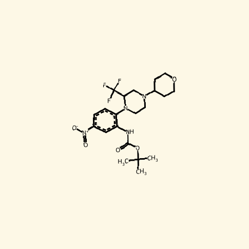 CC(C)(C)OC(=O)Nc1cc([N+](=O)[O-])ccc1N1CCN(C2CCOCC2)CC1C(F)(F)F